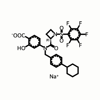 O=C([O-])c1ccc(N(Cc2ccc(C3CCCCC3)cc2)C(=O)[C@H]2CCN2S(=O)(=O)c2c(F)c(F)c(F)c(F)c2F)cc1O.[Na+]